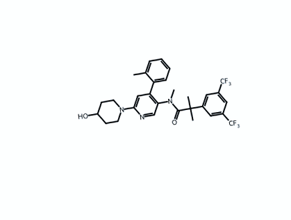 Cc1ccccc1-c1cc(N2CCC(O)CC2)ncc1N(C)C(=O)C(C)(C)c1cc(C(F)(F)F)cc(C(F)(F)F)c1